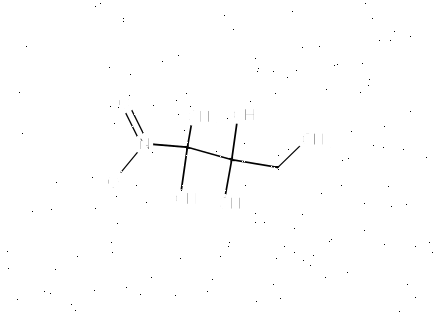 CCC(C)(C)C(C)(C)[N+](=O)[O-]